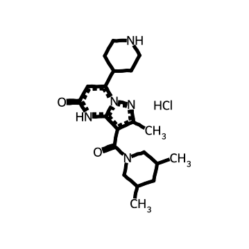 Cc1nn2c(C3CCNCC3)cc(=O)[nH]c2c1C(=O)N1CC(C)CC(C)C1.Cl